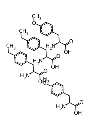 CCc1ccc(C[C@H](N)C(=O)O)cc1.CCc1ccc(C[C@H](N)C(=O)O)cc1.COc1ccc(C[C@H](N)C(=O)O)cc1.Cc1ccc(C[C@H](N)C(=O)O)cc1